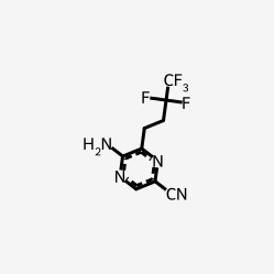 N#Cc1cnc(N)c(CCC(F)(F)C(F)(F)F)n1